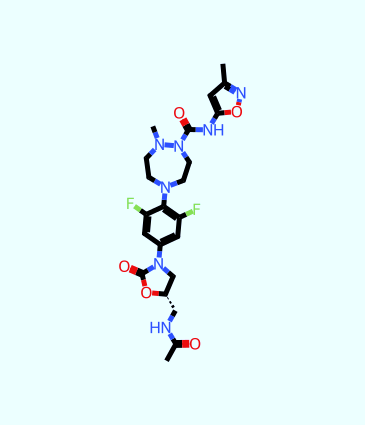 CC(=O)NC[C@H]1CN(c2cc(F)c(N3CCN(C)N(C(=O)Nc4cc(C)no4)CC3)c(F)c2)C(=O)O1